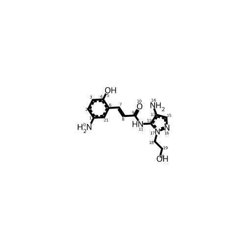 Nc1ccc(O)c(C=CC(=O)Nc2c(N)cnn2CCO)c1